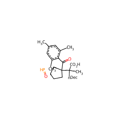 CCCCCCCCCCC(C)(C(=O)O)C1(C(=O)c2c(C)cc(C)cc2C)CCCC1.O=P